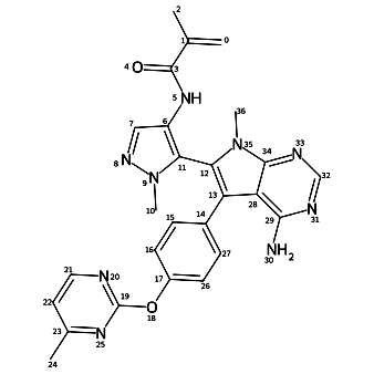 C=C(C)C(=O)Nc1cnn(C)c1-c1c(-c2ccc(Oc3nccc(C)n3)cc2)c2c(N)ncnc2n1C